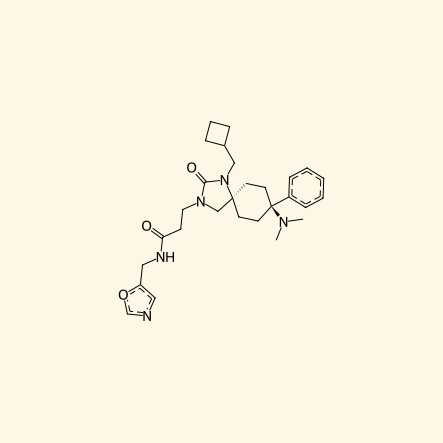 CN(C)[C@]1(c2ccccc2)CC[C@]2(CC1)CN(CCC(=O)NCc1cnco1)C(=O)N2CC1CCC1